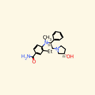 CCc1cc(C(N)=O)ccc1N(C)[C@H](CN1CC[C@H](O)C1)c1ccccc1